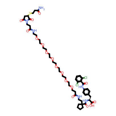 NC(=O)CCSC1CC(=O)N(CCC(=O)NCCOCCOCCOCCOCCOCCOCCOCCOCCC(=O)NCCC2(C(=O)N[C@@H](Cc3ccc(NC(=O)c4c(Cl)cccc4Cl)cc3)C(=O)O)CCCC2)C1=O